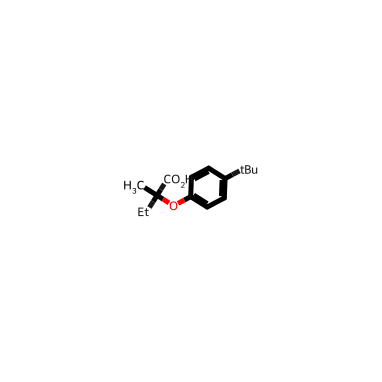 CCC(C)(Oc1ccc(C(C)(C)C)cc1)C(=O)O